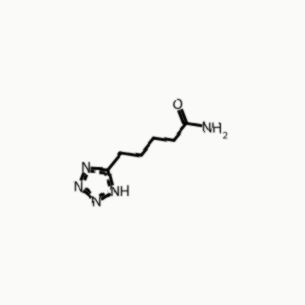 NC(=O)CCCCc1nnn[nH]1